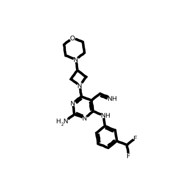 N=Cc1c(Nc2cccc(C(F)F)c2)nc(N)nc1N1CC(N2CCOCC2)C1